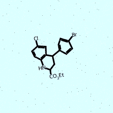 CCOC(=O)C1CC(c2ccc(Br)cc2)c2cc(Cl)ccc2N1